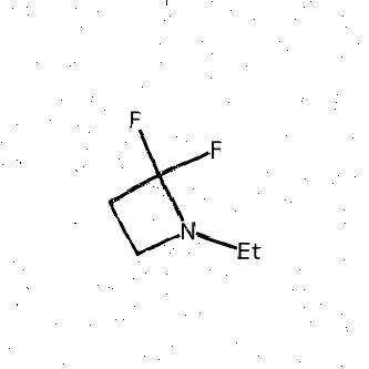 CCN1CCC1(F)F